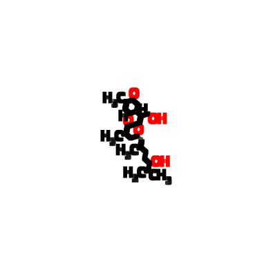 C=C(C)[C@H](O)CC/C(C)=C/[C@@H]1CC(C)=C[C@]2(C=C(CO)[C@H]3CC(=O)C(C)=C[C@H]3O2)O1